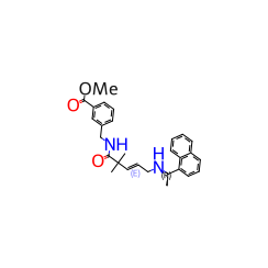 COC(=O)c1cccc(CNC(=O)C(C)(C)/C=C/CN[C@H](C)c2cccc3ccccc23)c1